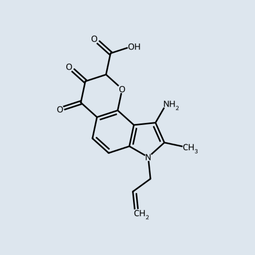 C=CCn1c(C)c(N)c2c3c(ccc21)C(=O)C(=O)C(C(=O)O)O3